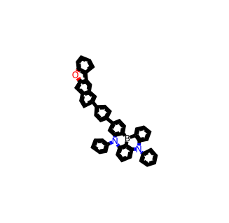 c1ccc(N2c3ccccc3B3c4ccc(-c5ccc(-c6ccc7cc8oc9ccccc9c8cc7c6)cc5)cc4N(c4ccccc4)c4cccc2c43)cc1